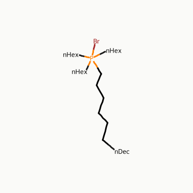 CCCCCCCCCCCCCCCCP(Br)(CCCCCC)(CCCCCC)CCCCCC